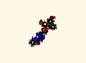 COc1ccc(C(OCC2CCC(n3cnc4c(NC(=O)c5ccccc5)ncnc43)O2)(c2ccccc2)c2ccc(OC)cc2)cc1